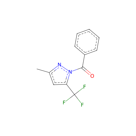 Cc1cc(C(F)(F)F)n(C(=O)c2ccccc2)n1